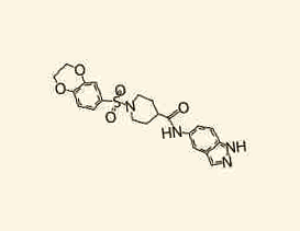 O=C(Nc1ccc2[nH]ncc2c1)C1CCN(S(=O)(=O)c2ccc3c(c2)OCCO3)CC1